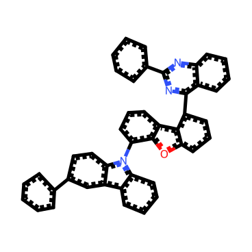 c1ccc(-c2ccc3c(c2)c2ccccc2n3-c2cccc3c2oc2cccc(-c4nc(-c5ccccc5)nc5ccccc45)c23)cc1